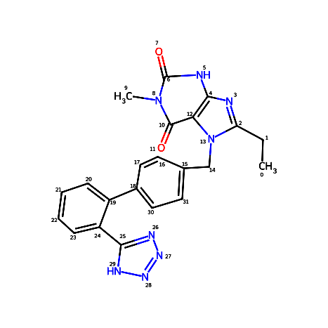 CCc1nc2[nH]c(=O)n(C)c(=O)c2n1Cc1ccc(-c2ccccc2-c2nnn[nH]2)cc1